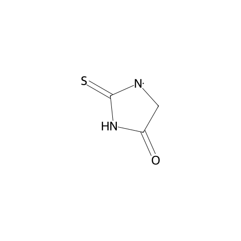 O=C1C[N]C(=S)N1